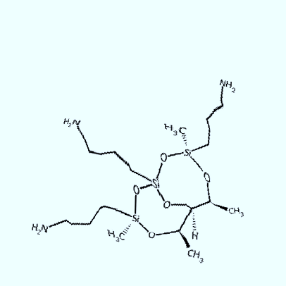 C[C@@H]1O[Si@](C)(CCCN)O[Si]2(CCCN)O[C@@H]1[C@@H](C)O[Si@@](C)(CCCN)O2